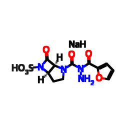 NN(C(=O)c1ccco1)C(=O)N1CC[C@@H]2[C@H]1C(=O)N2S(=O)(=O)O.[NaH]